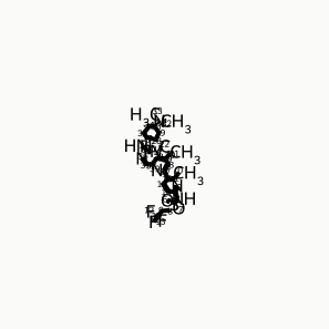 Cc1nc(NS(=O)(=O)CCC(F)(F)F)ccc1-c1cc(C(C)C)c2nc(N[C@H]3CC[C@H](N(C)C)CC3)ncc2n1